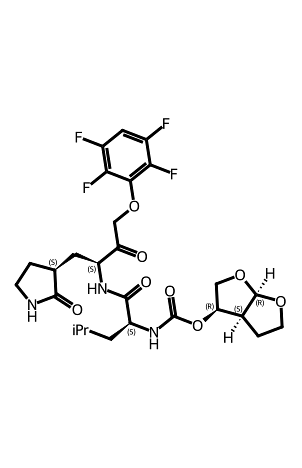 CC(C)C[C@H](NC(=O)O[C@H]1CO[C@H]2OCC[C@H]21)C(=O)N[C@@H](C[C@@H]1CCNC1=O)C(=O)COc1c(F)c(F)cc(F)c1F